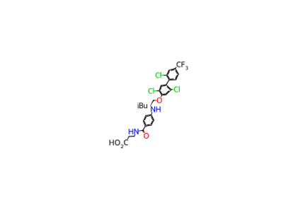 CC[C@H](C)[C@@H](COc1cc(Cl)c(-c2ccc(C(F)(F)F)cc2Cl)cc1Cl)Nc1ccc(C(=O)NCCC(=O)O)cc1